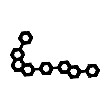 c1ccc(-c2ccc3ccc4ccc(-c5ccc(-c6ccc7cc(-c8ncccn8)ccc7c6)cc5)nc4c3n2)cc1